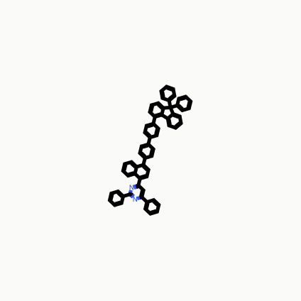 c1ccc(-c2cc(-c3ccc(-c4ccc(-c5ccc(-c6cccc7c6-c6ccccc6C7(c6ccccc6)c6ccccc6)cc5)cc4)c4ccccc34)nc(-c3ccccc3)n2)cc1